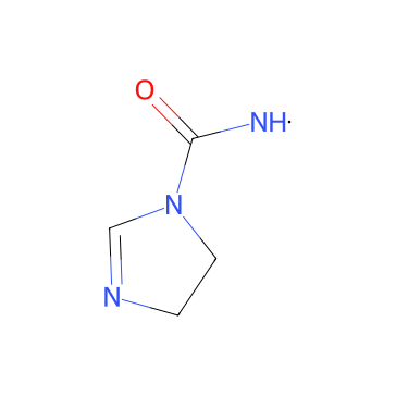 [NH]C(=O)N1C=NCC1